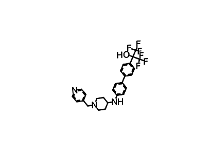 OC(c1ccc(-c2ccc(NC3CCN(Cc4ccncc4)CC3)cc2)cc1)(C(F)(F)F)C(F)(F)F